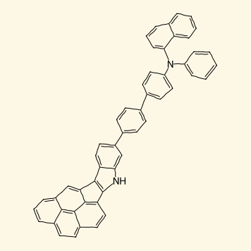 c1ccc(N(c2ccc(-c3ccc(-c4ccc5c6c([nH]c5c4)-c4ccc5ccc7cccc8cc-6c4c5c78)cc3)cc2)c2cccc3ccccc23)cc1